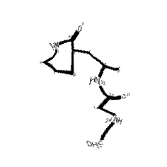 CC(CC1CCCNC1=O)NC(=O)CNC=O